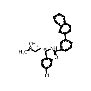 CN(C)CC[C@H](NC(=O)c1cccc(-c2ccc3ccccc3c2)c1)c1ccc(Cl)cc1